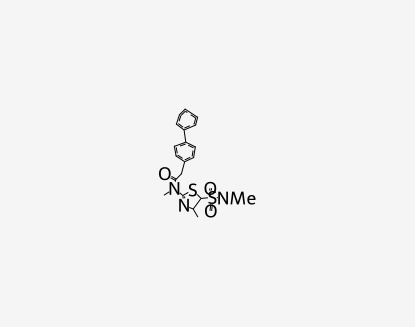 CNS(=O)(=O)C1SC(N(C)C(=O)Cc2ccc(-c3ccccc3)cc2)=NC1C